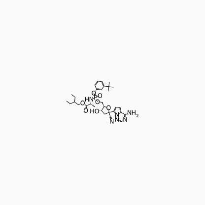 CCC(CC)COC(=O)[C@H](C)NP(=O)(OC[C@H]1OC(C#N)(c2ccc3c(N)ncnn23)C[C@@H]1O)Oc1cccc(C(C)(C)C)c1